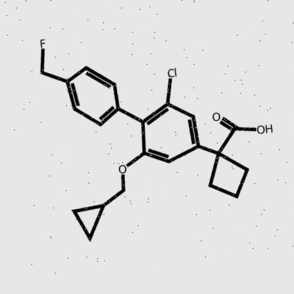 O=C(O)C1(c2cc(Cl)c(-c3ccc(CF)cc3)c(OCC3CC3)c2)CCC1